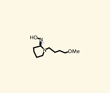 COCCCCN1CCCC/C1=N\O